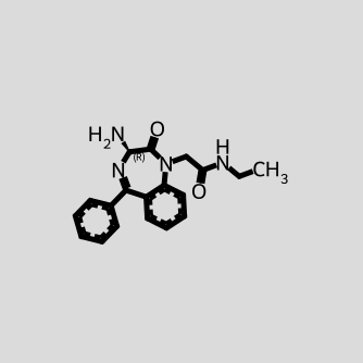 CCNC(=O)CN1C(=O)[C@H](N)N=C(c2ccccc2)c2ccccc21